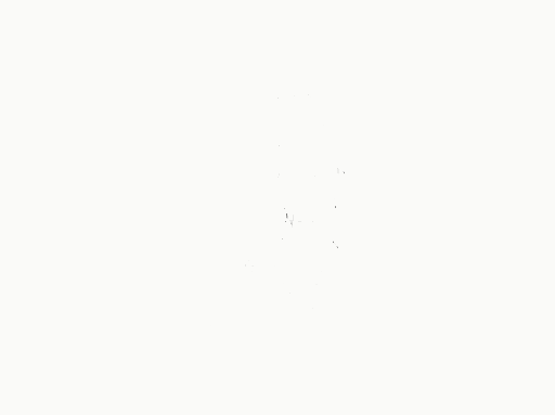 C=CCOC(=O)N1CCC(N)(C2CCCC2)CC1N=C=O